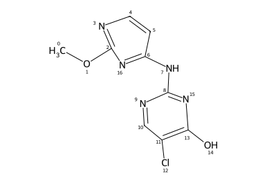 COc1nccc(Nc2ncc(Cl)c(O)n2)n1